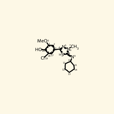 COc1cc(-c2nn(C)c(=NC3CCCCC3)s2)cc(Cl)c1O